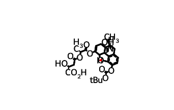 C[C@H](OC(=O)C[C@H](O)C(=O)O)C(=O)OC1=CC[C@@]2(O)[C@H]3Cc4ccc(OC(=O)OC(C)(C)C)c5c4[C@@]2(CCN3C)[C@H]1O5